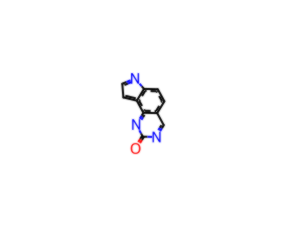 O=C1N=Cc2ccc3c(c2=N1)=CC=N3